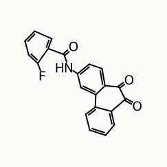 O=C(Nc1ccc2c(c1)-c1ccccc1C(=O)C2=O)c1ccccc1F